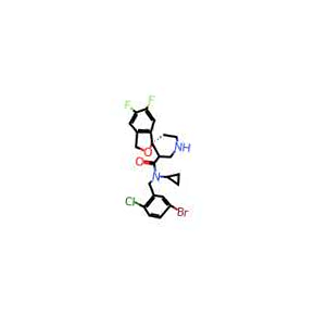 O=C(C1CNCC[C@@]12OCc1cc(F)c(F)cc12)N(Cc1cc(Br)ccc1Cl)C1CC1